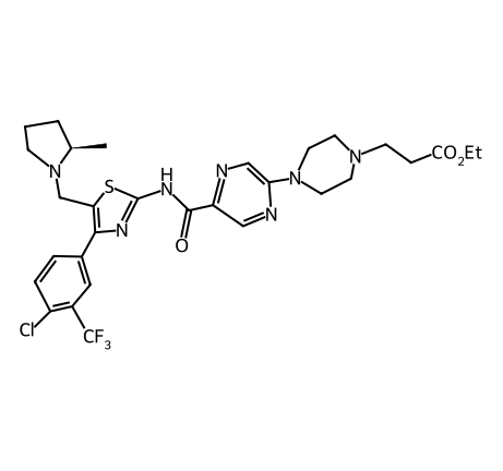 CCOC(=O)CCN1CCN(c2cnc(C(=O)Nc3nc(-c4ccc(Cl)c(C(F)(F)F)c4)c(CN4CCC[C@H]4C)s3)cn2)CC1